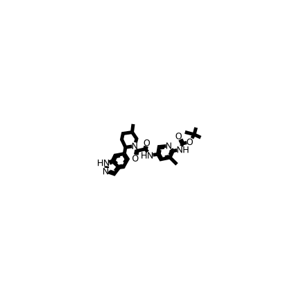 Cc1cc(NC(=O)C(=O)N2CC(C)CCC2c2ccc3cn[nH]c3c2)cnc1NC(=O)OC(C)(C)C